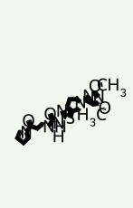 COc1cc(N2CCc3nc(NC(=O)NCCC(=O)N4CCCC4)sc3C2)nc(OC)n1